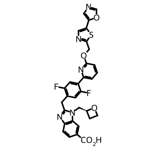 O=C(O)c1ccc2nc(Cc3cc(F)c(-c4cccc(OCc5ncc(-c6cnco6)s5)n4)cc3F)n(C[C@@H]3CCO3)c2c1